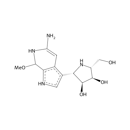 COC1NC(N)=Cc2c([C@@H]3N[C@H](CO)[C@@H](O)[C@H]3O)c[nH]c21